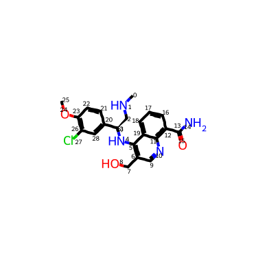 CNC[C@@H](Nc1c(CO)cnc2c(C(N)=O)cccc12)c1ccc(OC)c(Cl)c1